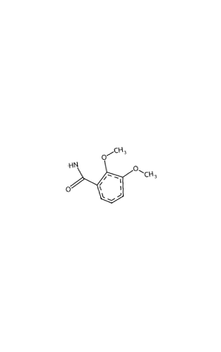 COc1cccc(C([NH])=O)c1OC